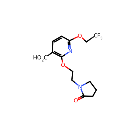 O=C(O)c1ccc(OCC(F)(F)F)nc1OCCN1CCCC1=O